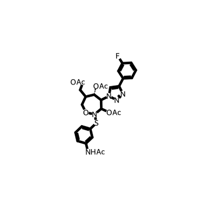 CC(=O)Nc1cccc(SN2OCC(COC(C)=O)[C@H](OC(C)=O)C(n3cc(-c4cccc(F)c4)nn3)C2OC(C)=O)c1